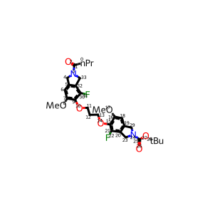 CCCC(=O)N1Cc2cc(OC)c(OCCCOc3c(OC)cc4c(c3F)CN(C(=O)OC(C)(C)C)C4)c(F)c2C1